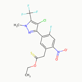 CCOC(=S)Cc1cc(-c2nn(C)c(C(F)(F)F)c2Cl)c(F)cc1[N+](=O)[O-]